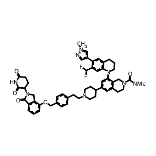 CNC(=O)N1CCc2cc(C3CCN(CCc4ccc(COc5cccc6c5CN(C5CCC(=O)NC5=O)C6=O)cc4)CC3)cc(N3CCCc4cc(-c5cnn(C)c5)c(C(F)F)cc43)c2C1